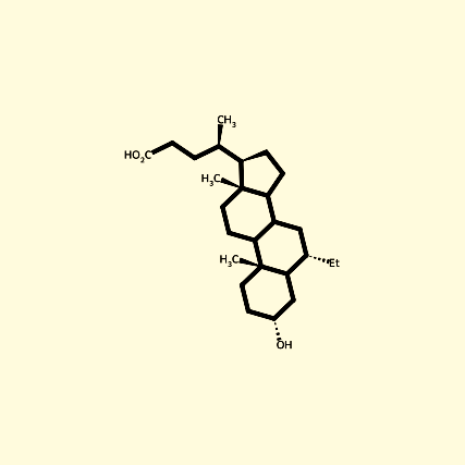 CC[C@H]1CC2C(CC[C@@]3(C)C2CC[C@@H]3[C@H](C)CCC(=O)O)[C@@]2(C)CC[C@@H](O)CC12